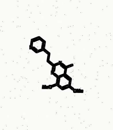 COc1cc(OC)c2nc(CCc3cccnc3)nc(C)c2c1